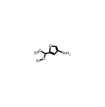 CCOC(OCC)c1c[c]([SnH3])co1